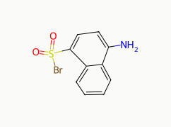 Nc1ccc(S(=O)(=O)Br)c2ccccc12